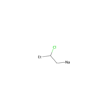 CCC(Cl)[CH2][Na]